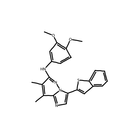 COc1ccc(Nc2nn3c(-c4cc5ccccc5s4)cnc3c(C)c2C)cc1OC